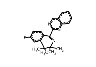 CC1(C)N=C(c2ncc3ccccc3n2)c2ccc(F)cc2C1(C)C